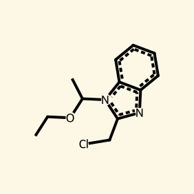 CCOC(C)n1c(CCl)nc2ccccc21